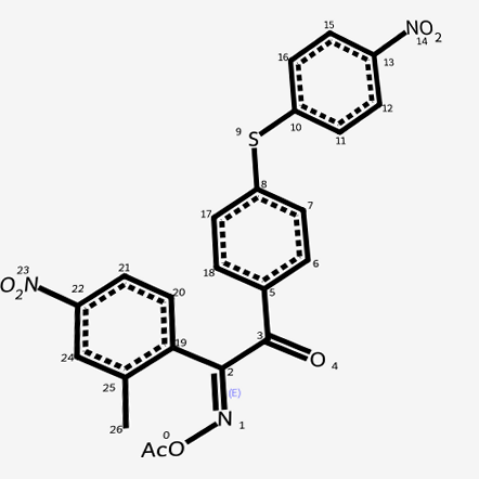 CC(=O)O/N=C(/C(=O)c1ccc(Sc2ccc([N+](=O)[O-])cc2)cc1)c1ccc([N+](=O)[O-])cc1C